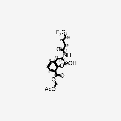 CC(=O)OCOC(=O)c1cccc2c1OB(O)[C@@H](NC(=O)CCCC(F)(F)F)C2